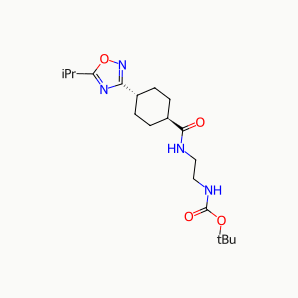 CC(C)c1nc([C@H]2CC[C@H](C(=O)NCCNC(=O)OC(C)(C)C)CC2)no1